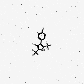 FC(F)(F)c1[nH]c(C(F)(F)F)c(-c2ccc(Cl)cc2)c1Br